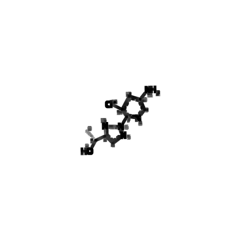 C[C@@H](O)c1cnn(-c2ncc(N)cc2Cl)n1